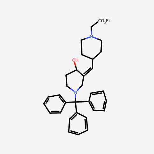 CCOC(=O)CN1CCC(/C=C2/CN(C(c3ccccc3)(c3ccccc3)c3ccccc3)CCC2O)CC1